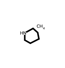 C.C1CCNCC1